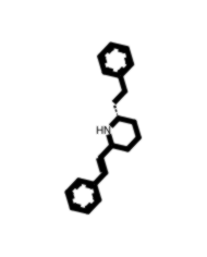 C(=C\C1CCC[C@@H](CCc2ccccc2)N1)/c1ccccc1